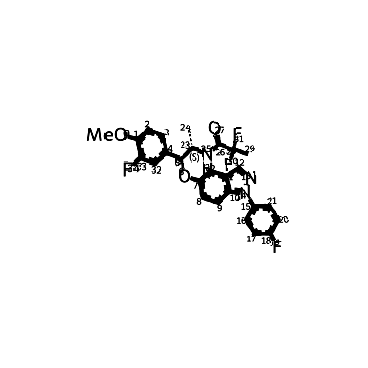 COc1ccc([C@H](Oc2ccc3c(cnn3-c3ccc(F)cc3)c2)[C@H](C)NC(=O)C(C)(F)F)cc1F